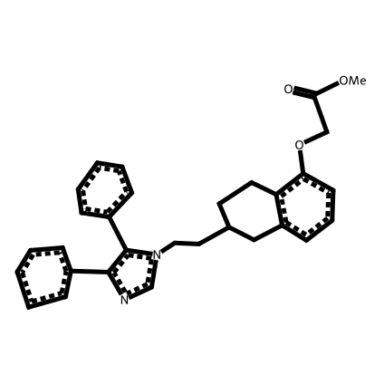 COC(=O)COc1cccc2c1CCC(CCn1cnc(-c3ccccc3)c1-c1ccccc1)C2